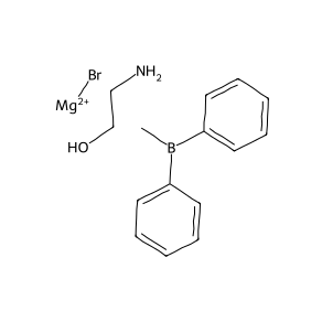 CB(c1ccccc1)c1ccccc1.NCCO.[Mg+2][Br]